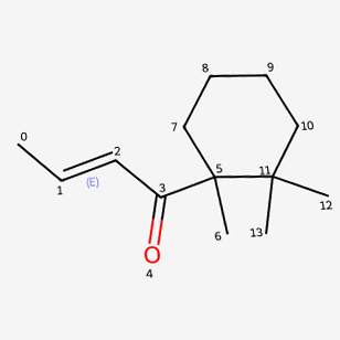 C/C=C/C(=O)C1(C)CCCCC1(C)C